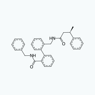 C[C@H](CC(=O)NCc1ccccc1-c1ccccc1C(=O)NCc1ccccc1)c1ccccc1